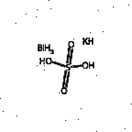 O=S(=O)(O)O.[BiH3].[KH]